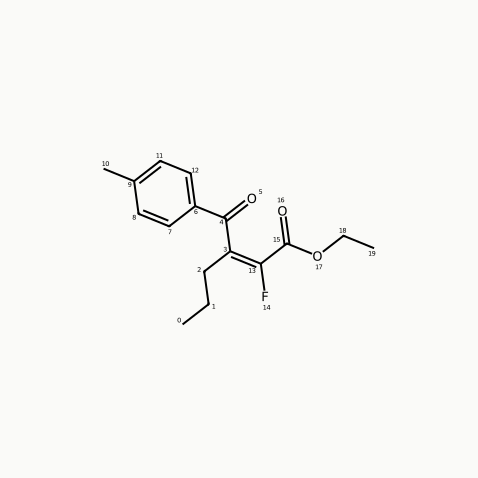 CCC/C(C(=O)c1ccc(C)cc1)=C(\F)C(=O)OCC